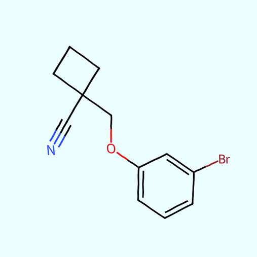 N#CC1(COc2cccc(Br)c2)CCC1